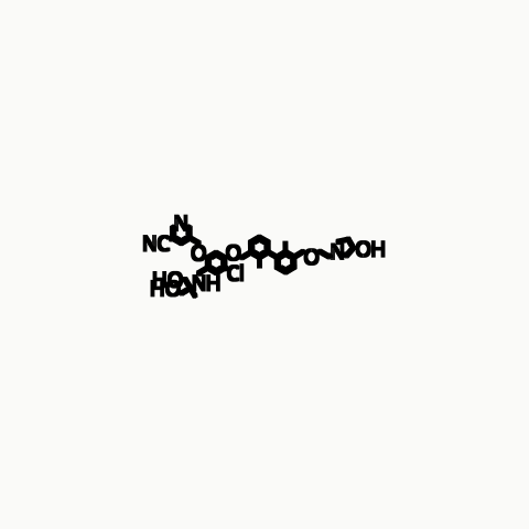 Cc1c(COCCN2CC[C@@H](O)C2)cccc1-c1cccc(COc2cc(OCc3cncc(C#N)c3)c(CNC(C)(CO)CO)cc2Cl)c1C